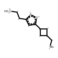 CC(C)(C)CC1CC(c2cc(CCC(=O)O)no2)C1